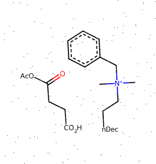 CC(=O)OC(=O)CCC(=O)O.CCCCCCCCCCCC[N+](C)(C)Cc1ccccc1